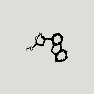 OC1CC(c2cccc3c2Cc2ccccc2-3)=NO1